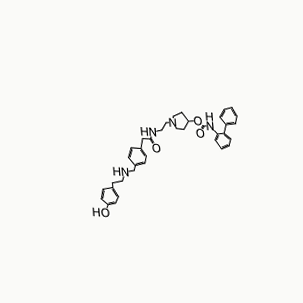 O=C(Cc1ccc(CNCCc2ccc(O)cc2)cc1)NCCN1CCC(OC(=O)Nc2ccccc2-c2ccccc2)CC1